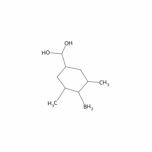 BC1C(C)CC(C(O)O)CC1C